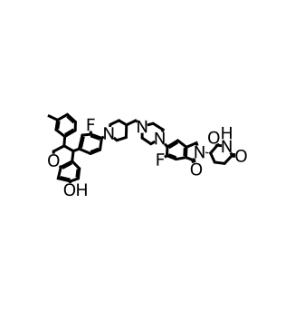 Cc1cccc(C2COc3cc(O)ccc3C2c2ccc(N3CCC(CN4CCN(c5cc6c(cc5F)C(=O)N([C@H]5CCC(=O)NC5=O)C6)CC4)CC3)c(F)c2)c1